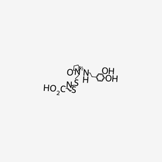 O=C(O)c1csc(SCCN2C(=O)CC[C@@H]2CNCCc2ccc(O)c(O)c2)n1